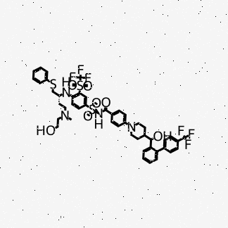 CN(CCO)CC[C@H](CSc1ccccc1)Nc1ccc(S(=O)(=O)NC(=O)c2ccc(N3CCC(C(O)c4ccccc4-c4ccc(C(F)(F)F)cc4)CC3)cc2)cc1S(=O)(=O)C(F)(F)F